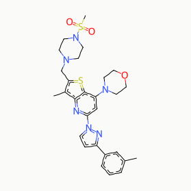 Cc1cccc(-c2ccn(-c3cc(N4CCOCC4)c4sc(CN5CCN(S(C)(=O)=O)CC5)c(C)c4n3)n2)c1